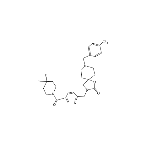 O=C1OC2(CCN(Cc3ccc(C(F)(F)F)cc3)CC2)CN1Cc1ccc(C(=O)N2CCC(F)(F)CC2)cn1